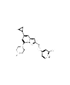 CN1CCN(c2cc(C3CC3)cc3cc(COc4ccnc(Br)c4)nn23)CC1